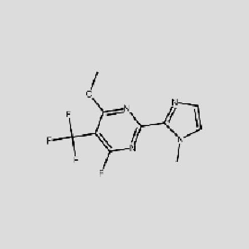 COc1nc(-c2nccn2C)nc(F)c1C(F)(F)F